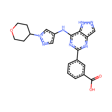 O=C(O)c1cccc(-c2nc(Nc3cnn(C4CCOCC4)c3)c3[nH]ncc3n2)c1